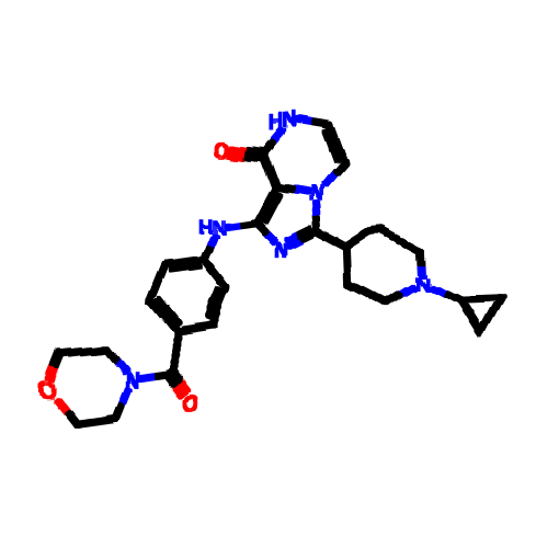 O=C(c1ccc(Nc2nc(C3CCN(C4CC4)CC3)n3cc[nH]c(=O)c23)cc1)N1CCOCC1